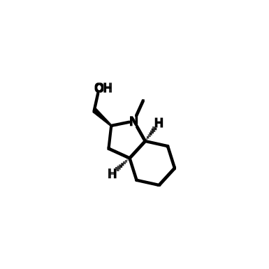 CN1[C@H](CO)C[C@@H]2CCCC[C@@H]21